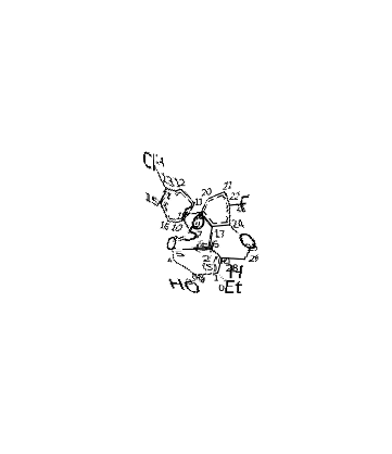 CC[C@@H]1[C@H](O)CC[C@@]2(S(=O)(=O)c3ccc(Cl)cc3)c3c(F)ccc(F)c3OC[C@@H]12